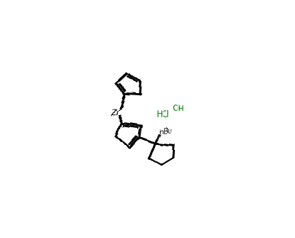 CCCCC1(C2=CC[C]([Zr][C]3=CC=CC3)=C2)CCCC1.Cl.Cl